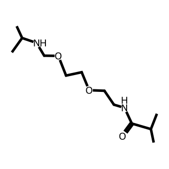 CC(C)NCOCCOCCNC(=O)C(C)C